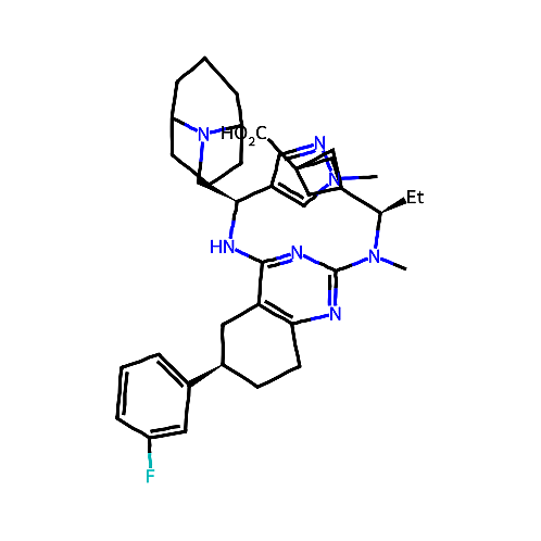 CC[C@@H](N(C)c1nc2c(c(N[C@@H](CN3C4CCCC3CCC4)c3cnn(C)c3)n1)C[C@H](c1cccc(F)c1)CC2)C12CC(C(=O)O)(C1)C2